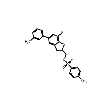 Cc1ccc(S(=O)(=O)OCC2Cc3cc(-c4cccc(C)c4)cc(F)c3O2)cc1